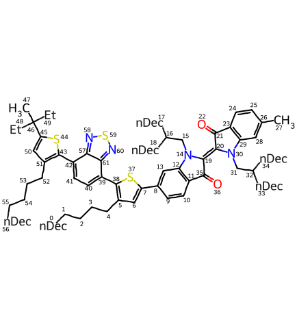 CCCCCCCCCCCCCCc1cc(-c2ccc3c(c2)N(CC(CCCCCCCCCC)CCCCCCCCCC)/C(=C2\C(=O)c4ccc(C)cc4N2CC(CCCCCCCCCC)CCCCCCCCCC)C3=O)sc1-c1ccc(-c2sc(C(C)(CC)CC)cc2CCCCCCCCCCCCCC)c2nsnc12